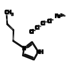 CCCC[n+]1cc[nH]c1.[Cl-].[Cl-].[Cl-].[Cl-].[Fe+3]